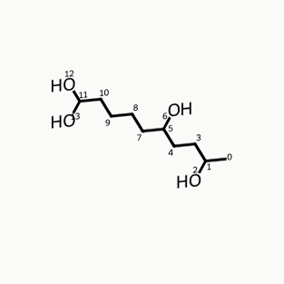 CC(O)CCC(O)CCCCC(O)O